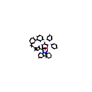 CC(C)(C)c1ccc(N2c3ccc(C(C)(C)C)cc3B3c4ccc5sc6ccc7cc6c5c4N(c4cc(c(C(C)(C)C)cc4-c4ccccc4)C7(C)C)c4cc(N5c6ccc(C(C)(C)C)cc6C6(C)CCCCC56C)cc2c43)cc1